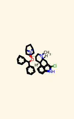 CN1C[C@@H](CN2C3CCC2CC(OC(c2ccccc2)c2ccccc2)C3)C[C@@H]2c3cccc4[nH]c(Cl)c(c34)C[C@H]21